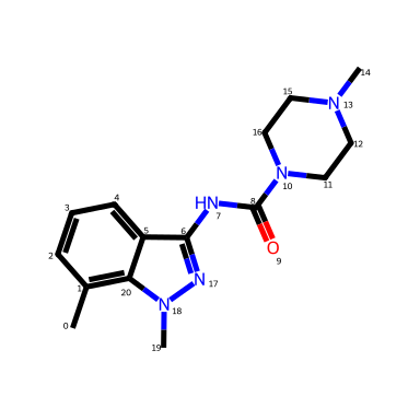 Cc1cccc2c(NC(=O)N3CCN(C)CC3)nn(C)c12